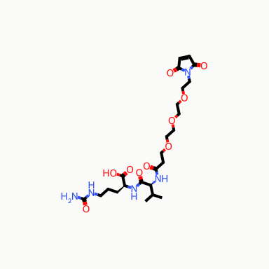 CC(C)[C@H](NC(=O)CCOCCOCCOCCN1C(=O)C=CC1=O)C(=O)N[C@@H](CCCNC(N)=O)C(=O)O